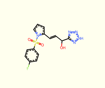 O=S(=O)(c1ccc(F)cc1)n1cccc1C=CC(O)c1nn[nH]n1